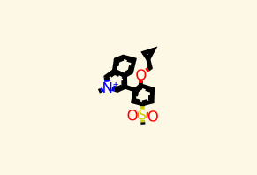 C[n+]1cc(-c2cc(S(C)(=O)=O)ccc2OCC2CC2)c2ccccc2c1